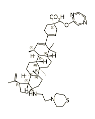 C=C(C)[C@@H]1CC[C@]2(NCCN3CCSCC3)CC[C@]3(C)[C@H](CC[C@@H]4[C@@H]5[C@@H](CC[C@]43C)C(C)(C)C(C3=CC[C@@](COc4cnccn4)(C(=O)O)CC3)=C[C@@H]5C)[C@@H]12